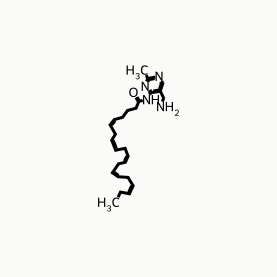 CC/C=C\C/C=C\C/C=C\C/C=C\C/C=C\CCCC(=O)Nc1nc(C)ncc1CN